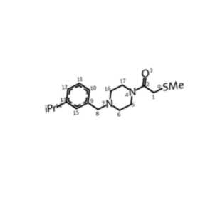 CSCC(=O)N1CCN(Cc2cccc(C(C)C)c2)CC1